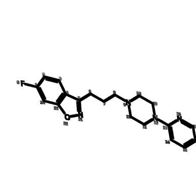 Fc1ccc2c(CCCN3CCN(c4ccccn4)CC3)noc2c1